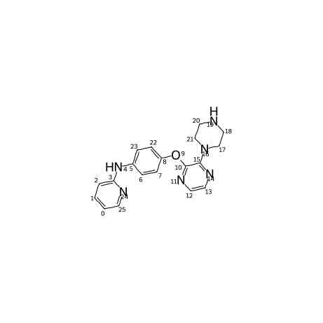 c1ccc(Nc2ccc(Oc3nccnc3N3CCNCC3)cc2)nc1